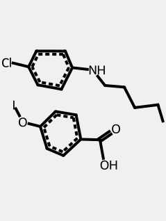 CCCCCNc1ccc(Cl)cc1.O=C(O)c1ccc(OI)cc1